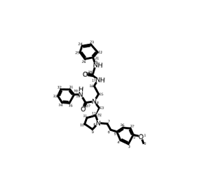 COc1ccc(CCN2CCC[C@H]2CN(CCNC(=O)Nc2ccccc2)C(=O)Nc2ccccc2)cc1